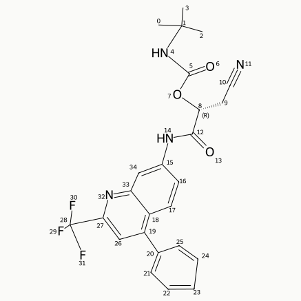 CC(C)(C)NC(=O)O[C@H](CC#N)C(=O)Nc1ccc2c(-c3ccccc3)cc(C(F)(F)F)nc2c1